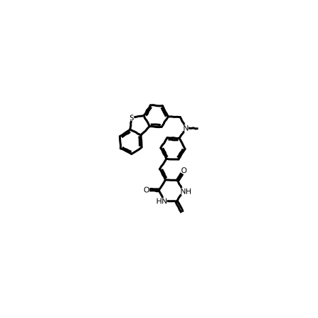 C=c1[nH]c(=O)c(=Cc2ccc(N(C)Cc3ccc4sc5ccccc5c4c3)cc2)c(=O)[nH]1